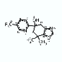 CC1(C)CC(O)(c2ccc(C(F)(F)F)cn2)Cc2ncoc21